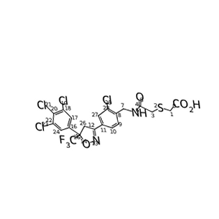 O=C(O)CSCC(=O)NCc1ccc(C2=NOC(c3cc(Cl)c(Cl)c(Cl)c3)(C(F)(F)F)C2)cc1Cl